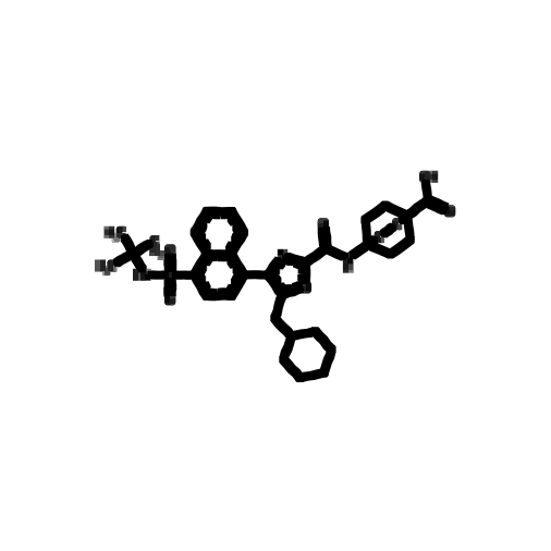 CC(C)(C)NS(=O)(=O)c1ccc(-c2nc(C(=O)NC34CCC(C(=O)O)(CC3)CC4)oc2CC2CCCCC2)c2ccccc12